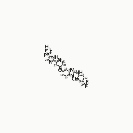 Cn1c(Nc2ccc(C(F)(F)F)cc2)nc2cc(Oc3ccnc(-c4ncc(C(C)(F)F)[nH]4)c3)ccc21